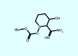 CC(C)(C)OC(=O)ON1CCCC(O)C1C(=N)N